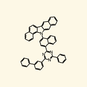 c1ccc(-c2cccc(-c3nc(-c4ccccc4)nc(-c4ccc(-n5c6cc7ccccc7cc6c6ccc7ccccc7c65)c5ccccc45)n3)c2)cc1